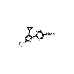 CNc1cnc(-n2nc(C(F)(F)F)cc2C2CC2)nc1